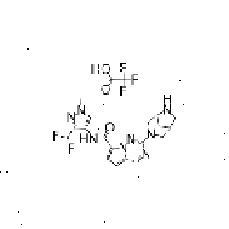 Cn1cc(NC(=O)c2ccc3cnc(N4CC5CNC(C5)C4)nn23)c(C(F)F)n1.O=C(O)C(F)(F)F